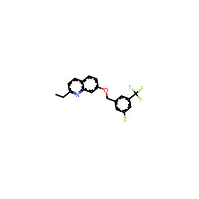 CCc1ccc2ccc(OCc3cc(F)cc(C(F)(F)F)c3)cc2n1